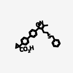 Cc1noc(-c2ccc(-c3ccc(C4(C(=O)O)CC4)cc3)cc2)c1CCSCc1ccccc1